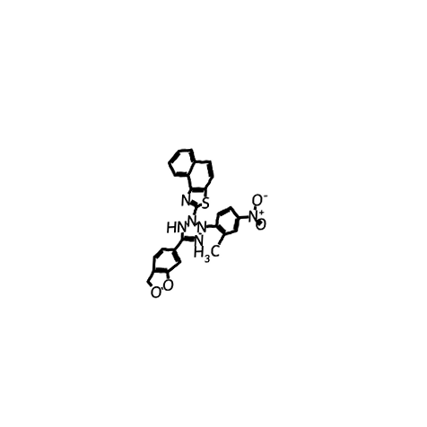 Cc1cc([N+](=O)[O-])ccc1N1N=C(c2ccc3c(c2)OOC3)NN1c1nc2c(ccc3ccccc32)s1